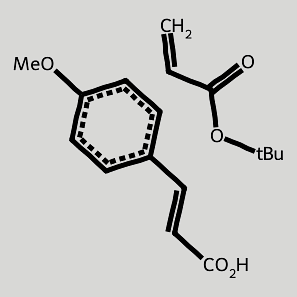 C=CC(=O)OC(C)(C)C.COc1ccc(C=CC(=O)O)cc1